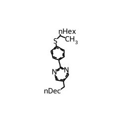 CCCCCCCCCCCc1cnc(-c2ccc(SC(C)CCCCCC)cc2)nc1